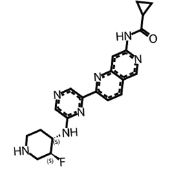 O=C(Nc1cc2nc(-c3cncc(N[C@H]4CCNC[C@@H]4F)n3)ccc2cn1)C1CC1